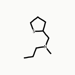 CCCN(C)CC1CCCS1